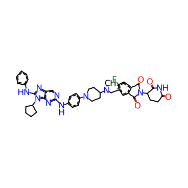 CN(Cc1cc2c(cc1F)C(=O)N(C1CCC(=O)NC1=O)C2=O)C1CCN(c2ccc(Nc3ncc4nc(Nc5ccccc5)n(C5CCCC5)c4n3)cc2)CC1